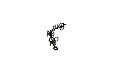 CC(C)(C)OC(=O)NCCCCc1nnc([C@@H]2CC[C@@H]3CN2C(=O)N3OCc2ccccc2)o1